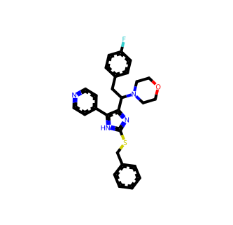 Fc1ccc(CC(c2nc(SCc3ccccc3)[nH]c2-c2ccncc2)N2CCOCC2)cc1